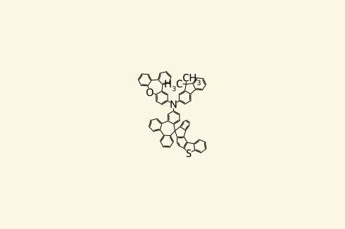 CC1(C)c2ccccc2-c2ccc(N(c3ccc4c(c3)-c3ccccc3-c3ccccc3O4)c3ccc4c(c3)-c3ccccc3-c3ccccc3C43c4ccccc4-c4c3ccc3sc5ccccc5c43)cc21